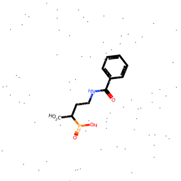 O=C(NCCC(C(=O)O)[PH](=O)O)c1ccccc1